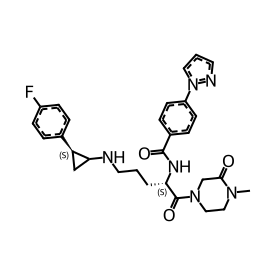 CN1CCN(C(=O)[C@H](CCCNC2C[C@H]2c2ccc(F)cc2)NC(=O)c2ccc(-n3cccn3)cc2)CC1=O